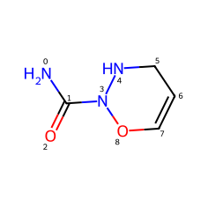 NC(=O)N1NCC=CO1